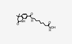 CC1(C)CC(=O)Nc2cc(C(=O)NCCCCCCC(=O)NO)ccc21